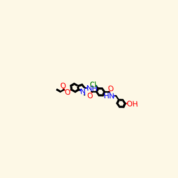 C=CC(=O)Oc1ccc2cc(NC(=O)c3ccc(C(=O)NCc4cccc(O)c4)cc3Cl)n(C)c2c1